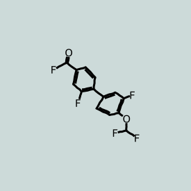 O=C(F)c1ccc(-c2ccc(OC(F)F)c(F)c2)c(F)c1